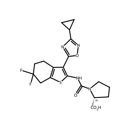 O=C(O)[C@H]1CCCN1C(=O)Nc1sc2c(c1-c1nc(C3CC3)no1)CCC(F)(F)C2